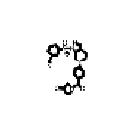 N#Cc1cccc(S(=O)(=O)n2ncc3c2CN(c2ccc(C(=O)N4CCC(=O)C4)cc2)CC3)c1